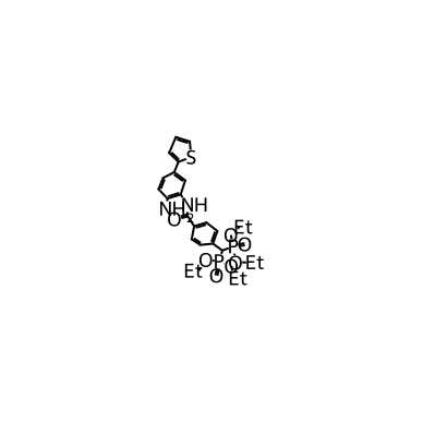 CCOP(=O)(OCC)C(c1ccc(C(=O)Nc2cc(-c3cccs3)ccc2N)cc1)P(=O)(OCC)OCC